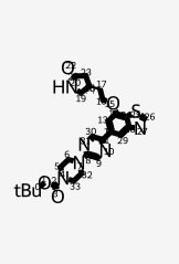 CC(C)(C)OC(=O)N1CCN(c2cnc(-c3cc(OCC[C@H]4CNC(=O)C4)c4scnc4c3)cn2)CC1